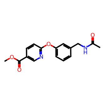 COC(=O)c1ccc(Oc2cccc(CNC(C)=O)c2)nc1